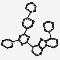 c1ccc(-c2ccc(-c3nc(-c4ccccc4)nc(-c4cccc5c4sc4c(-c6ccccc6)cccc45)n3)cc2)cc1